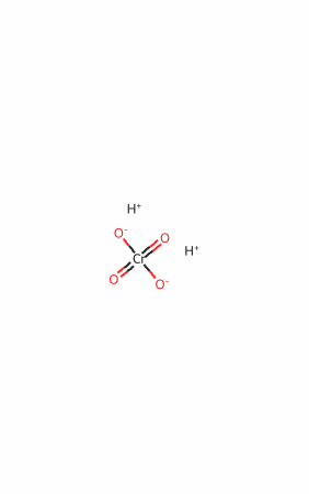 [H+].[H+].[O]=[Cr](=[O])([O-])[O-]